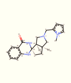 Cn1cccc1CN1C[C@H]2CC[C@]3(NC(=O)c4ccccc4N3)[C@H]2C1